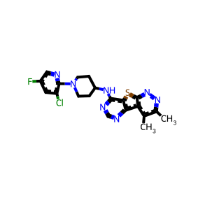 Cc1nnc2sc3c(NC4CCN(c5ncc(F)cc5Cl)CC4)ncnc3c2c1C